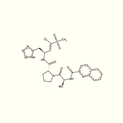 CC(C)(C)[C@H](NC(=O)c1ccc2ccccc2n1)C(=O)N1CCC[C@@H]1C(=O)N[C@H](/C=C(\Cl)S(C)(=O)=O)Cc1nnn[nH]1